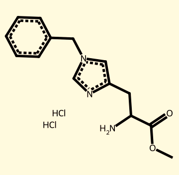 COC(=O)C(N)Cc1cn(Cc2ccccc2)cn1.Cl.Cl